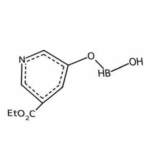 CCOC(=O)c1cncc(OBO)c1